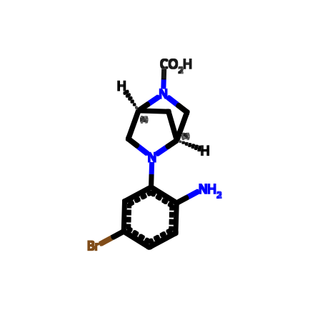 Nc1ccc(Br)cc1N1C[C@@H]2C[C@H]1CN2C(=O)O